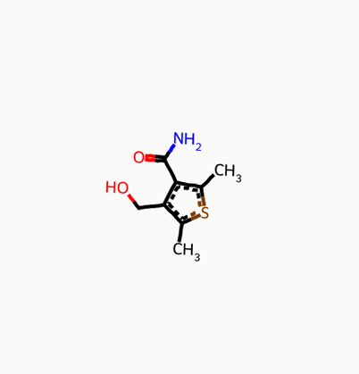 Cc1sc(C)c(C(N)=O)c1CO